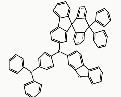 c1ccc(N(c2ccccc2)c2ccc(N(c3ccc4c(c3)C3(c5ccccc5-4)c4ccccc4C(c4ccccc4)(c4ccccc4)c4ccccc43)c3ccc4c(c3)oc3ccccc34)cc2)cc1